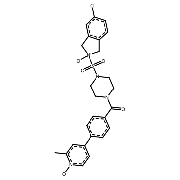 Cc1cc(-c2ccc(C(=O)N3CCN(S(=O)(=O)[N+]4([O-])Cc5ccc(Cl)cc5C4)CC3)cc2)cc[n+]1[O-]